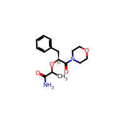 CC(O[C@@H](Cc1ccccc1)C(=O)N1CCOCC1)C(N)=O